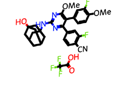 COc1ccc(-c2c(OC)nc(NC34CC5CC(CC(O)(C5)C3)C4)nc2-c2ccc(C#N)c(F)c2)cc1F.O=C(O)C(F)(F)F